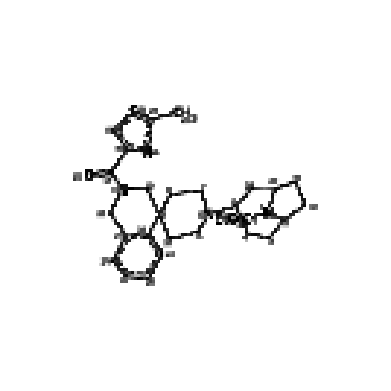 CCOC(=O)N1C2CCC(N3CCC4(CC3)CN(C(=O)c3csc(C)n3)Cc3ccccc34)CC1CC2